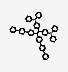 c1ccc(-c2ccc(-c3ccc(C(=C(c4ccc(N(c5ccccc5)c5ccccc5)cc4)c4ccc(N(c5ccccc5)c5ccccc5)cc4)c4ccc(-c5ccc(-c6ccccc6)cc5)cc4)cc3)cc2)cc1